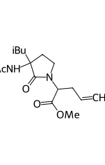 C=CCC(C(=O)OC)N1CCC(NC(C)=O)(C(C)CC)C1=O